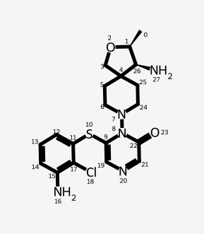 C[C@@H]1OCC2(CCN(n3c(Sc4cccc(N)c4Cl)cncc3=O)CC2)[C@@H]1N